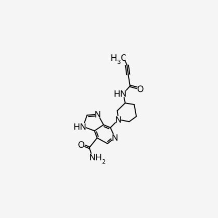 CC#CC(=O)NC1CCCN(c2ncc(C(N)=O)c3[nH]cnc23)C1